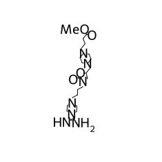 COC(=O)CCCN1CCN(CC2CN(CCCCN3CCN(C(=N)N)CC3)C(=O)O2)CC1